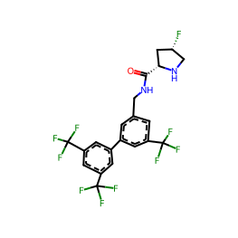 O=C(NCc1cc(-c2cc(C(F)(F)F)cc(C(F)(F)F)c2)cc(C(F)(F)F)c1)[C@@H]1C[C@H](F)CN1